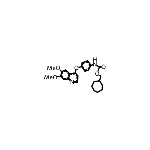 COc1cc2nccc(Oc3ccc(NC(=O)OCC4CCCCCC4)cc3)c2cc1OC